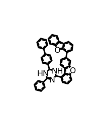 c1ccc(C2=NC(c3cccc4oc5cc(-c6cccc7c6oc6ccccc67)ccc5c34)NC(c3ccc(-c4ccccc4)cc3)N2)cc1